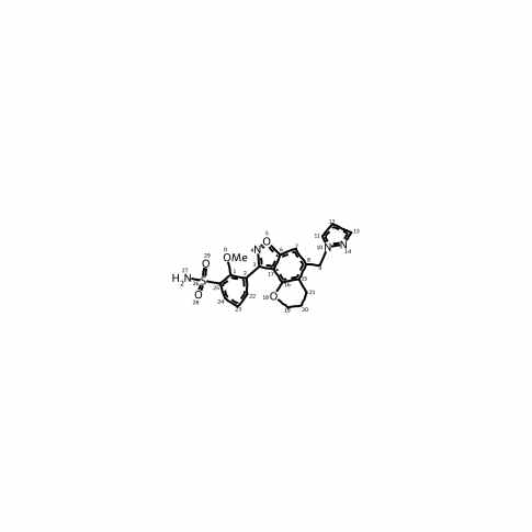 COc1c(-c2noc3cc(Cn4cccn4)c4c(c23)OCCC4)cccc1S(N)(=O)=O